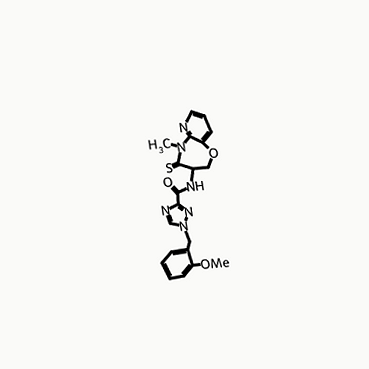 COc1ccccc1Cn1cnc(C(=O)NC2COc3cccnc3N(C)C2=S)n1